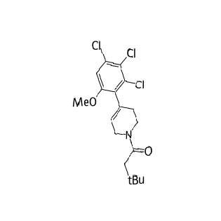 COc1cc(Cl)c(Cl)c(Cl)c1C1=CCN(C(=O)CC(C)(C)C)CC1